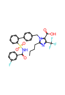 CCCCc1nc(C(F)(F)F)c(C(=O)O)n1Cc1ccc(-c2ccccc2S(=O)(=O)NC(=O)c2cccc(F)c2)cc1